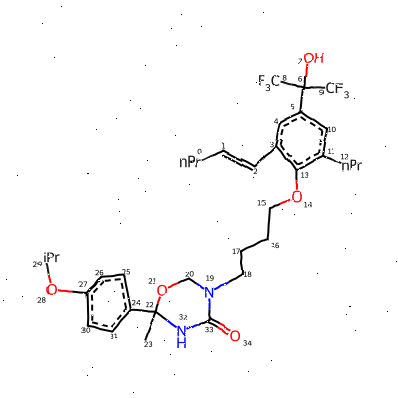 CCC/C=C/c1cc(C(O)(C(F)(F)F)C(F)(F)F)cc(CCC)c1OCCCCN1COC(C)(c2ccc(OC(C)C)cc2)NC1=O